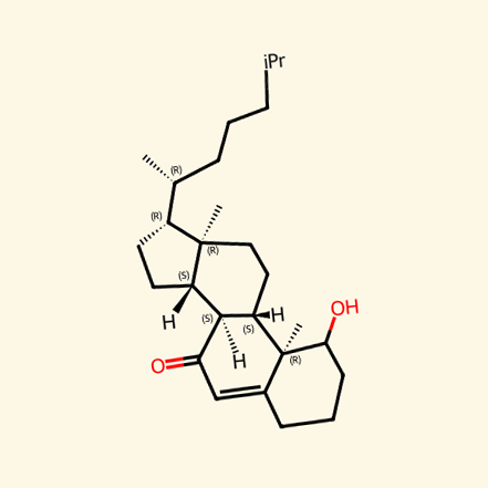 CC(C)CCC[C@@H](C)[C@H]1CC[C@H]2[C@@H]3C(=O)C=C4CCCC(O)[C@]4(C)[C@H]3CC[C@]12C